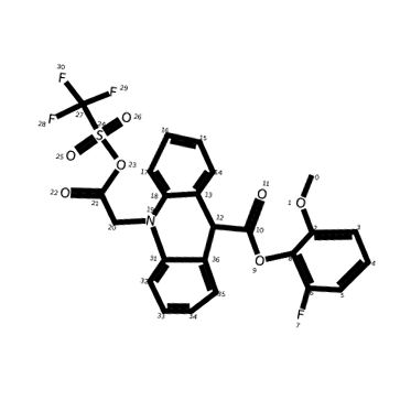 COc1cccc(F)c1OC(=O)C1c2ccccc2N(CC(=O)OS(=O)(=O)C(F)(F)F)c2ccccc21